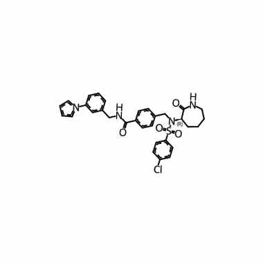 O=C(NCc1cccc(-n2cccc2)c1)c1ccc(CN([C@@H]2CCCCNC2=O)S(=O)(=O)c2ccc(Cl)cc2)cc1